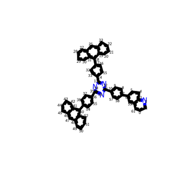 c1cnc2ccc(-c3ccc(-c4nc(-c5ccc(-c6c7ccccc7cc7ccccc67)cc5)nc(-c5ccc(-c6c7ccccc7cc7ccccc67)cc5)n4)cc3)cc2c1